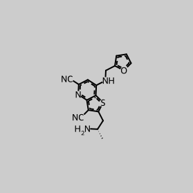 C[C@H](N)Cc1sc2c(NCc3ccco3)cc(C#N)nc2c1C#N